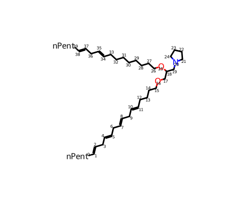 CCCCCC=CCC=CCC=CCC=CCCCCOCC(CN1CCCC1)OCCCCCCCCC=CCC=CCCCCC